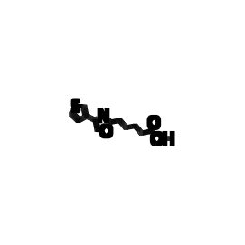 O=C(O)CCCCc1nc(-c2ccsc2)co1